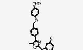 Cc1oc(Cc2cccc(Cl)c2)nc1-c1ccc(COc2ccc(C=O)cc2)cc1